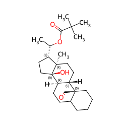 CC(OC(=O)C(C)(C)C)[C@H]1CC[C@@]2(O)[C@@H]3CCC4CCCC[C@@]4(C=O)[C@H]3CC[C@]12C